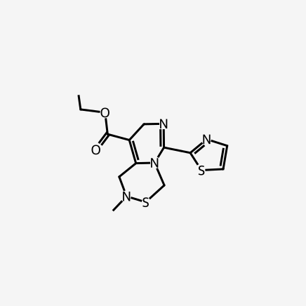 CCOC(=O)C1=C2CN(C)SCN2C(c2nccs2)=NC1